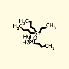 CCC[CH2][Sn]([OH])([OH])[O][Sn]([CH2]CCC)([CH2]CCC)[CH2]CCC